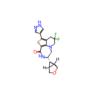 O=C1NC([C@@H]2[C@@H]3COC[C@@H]32)CN2CC(F)(F)Cc3c(-c4cn[nH]c4)sc1c32